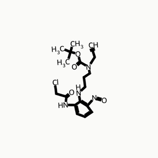 C#CCN(CCCNc1c(N=O)cccc1NC(=O)CCl)C(=O)OC(C)(C)C